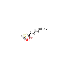 CCCCCCCCCCC(Br)[SH]=C(C)O